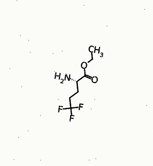 CCOC(=O)[C@@H](N)CCC(F)(F)F